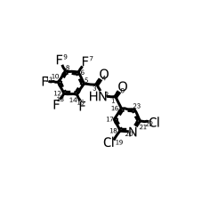 O=C(NC(=O)c1c(F)c(F)c(F)c(F)c1F)c1cc(Cl)nc(Cl)c1